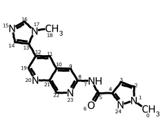 Cn1ccc(C(=O)Nc2cc3cc(-c4cncn4C)cnc3cn2)n1